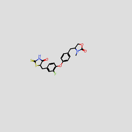 CN1C(=O)OCC1Cc1ccc(Oc2ccc(CC3SC(=S)NC3=O)cc2F)cc1